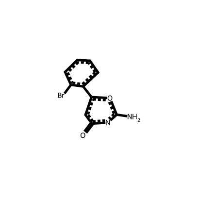 Nc1nc(=O)cc(-c2ccccc2Br)o1